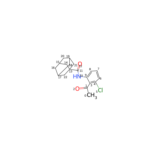 CC(=O)c1c(Cl)cccc1NC(=O)C12CC3CC(CC(C3)C1)C2